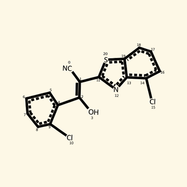 N#CC(=C(O)c1ccccc1Cl)c1nc2c(Cl)cccc2s1